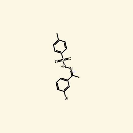 C/C(=N/NS(=O)(=O)c1ccc(C)cc1)c1cccc(Br)c1